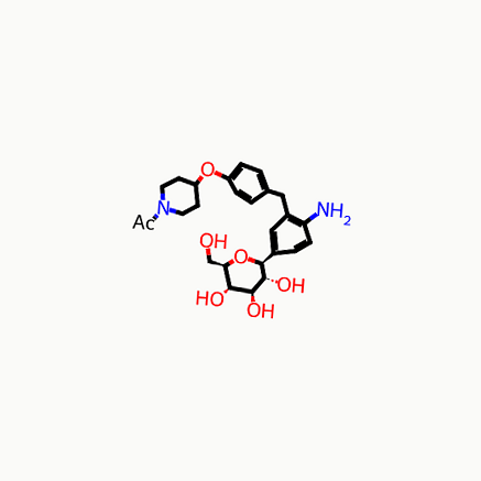 CC(=O)N1CCC(Oc2ccc(Cc3cc([C@@H]4O[C@H](CO)[C@@H](O)[C@H](O)[C@H]4O)ccc3N)cc2)CC1